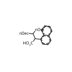 CCCCCCCCCCC(CCCCCCCC)C(C(=O)O)c1cccc2ccccc12